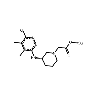 Cc1c(Cl)nnc(N[C@@H]2CCCN(CC(=O)OC(C)(C)C)C2)c1C